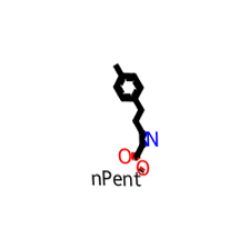 CCCCCOC(=O)C1N=C1CCc1ccc(C)cc1